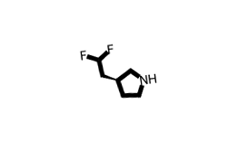 FC(F)C[C@@H]1CCNC1